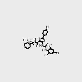 C[C@@](NC(=O)c1nc(-c2ccc(Cl)cc2)sc1NC(=O)Nc1c(Cl)cc(Cl)cc1Cl)(C(=O)O)C1CCCCC1